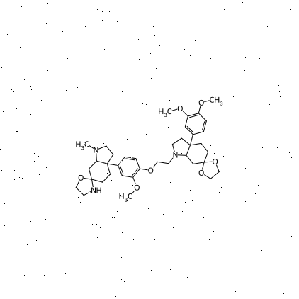 COc1ccc(C23CCN(CCOc4ccc(C56CCN(C)C5CC5(CC6)NCCO5)cc4OC)C2CC2(CC3)OCCO2)cc1OC